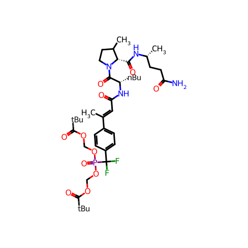 CCCC[C@H](NC(=O)/C=C(\C)c1ccc(C(F)(F)P(=O)(OCOC(=O)C(C)(C)C)OCOC(=O)C(C)(C)C)cc1)C(=O)N1CCC(C)[C@@H]1C(=O)N[C@H](C)CCC(N)=O